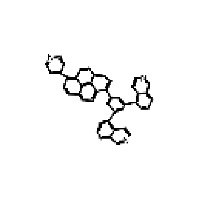 c1cc(-c2cc(-c3cccc4cnccc34)cc(-c3ccc4ccc5c(-c6ccncc6)ccc6ccc3c4c65)c2)c2ccncc2c1